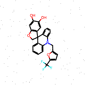 Oc1cc2c(cc1O)C1(CO2)c2ccccc2N(Cc2ccc(C(F)(F)F)o2)c2ccccc21